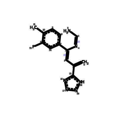 C=C(/C=C(\N=C/N)c1ccc(C)c(F)c1)c1nnn[nH]1